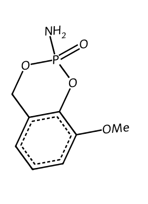 COc1cccc2c1OP(N)(=O)OC2